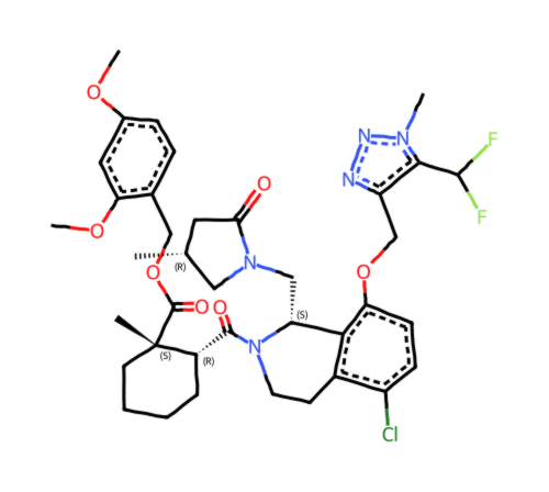 COc1ccc(COC(=O)[C@@]2(C)CCCC[C@H]2C(=O)N2CCc3c(Cl)ccc(OCc4nnn(C)c4C(F)F)c3[C@H]2CN2C[C@H](C)CC2=O)c(OC)c1